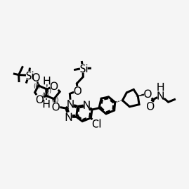 CCNC(=O)O[C@H]1CC[C@H](c2ccc(-c3nc4c(cc3Cl)nc(O[C@@H]3CO[C@H]5[C@@H]3OC[C@H]5O[Si](C)(C)C(C)(C)C)n4COCC[Si](C)(C)C)cc2)CC1